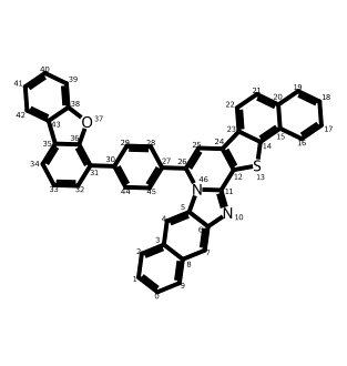 c1ccc2cc3c(cc2c1)nc1c2sc4c5ccccc5ccc4c2cc(-c2ccc(-c4cccc5c4oc4ccccc45)cc2)n31